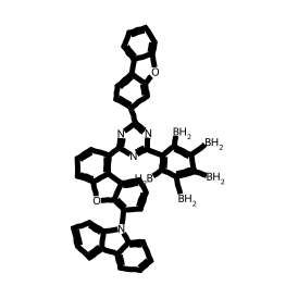 Bc1c(B)c(B)c(-c2nc(-c3ccc4c(c3)oc3ccccc34)nc(-c3cccc4oc5c(-n6c7ccccc7c7ccccc76)cccc5c34)n2)c(B)c1B